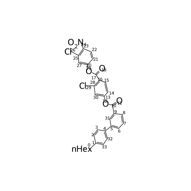 CCCCCCc1ccc(-c2cccc(C(=O)Oc3ccc(C(=O)Oc4ccc([N+](=O)[O-])c(Cl)c4)c(Cl)c3)c2)cc1